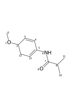 COC1C=CC(NC(=O)C(C)C)=CC1